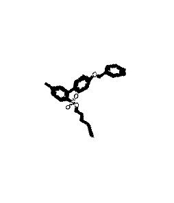 CCCCCOS(=O)(=O)c1ccc(C)cc1-c1ccc(OCc2ccccc2)cc1